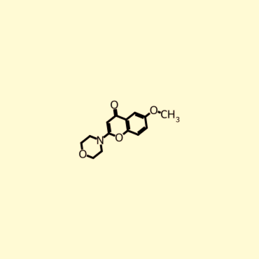 COc1ccc2oc(N3CCOCC3)cc(=O)c2c1